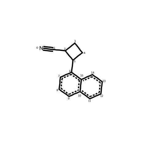 N#CC1CCC1c1cccc2ccccc12